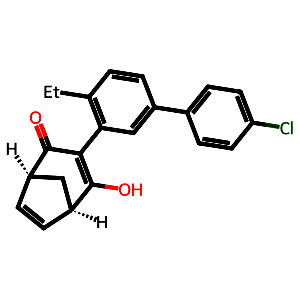 CCc1ccc(-c2ccc(Cl)cc2)cc1C1=C(O)[C@H]2C=C[C@H](C2)C1=O